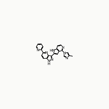 Cc1cn(-c2nccc3[nH]c(-c4n[nH]c5ccc(-c6ccccn6)nc45)cc23)cn1